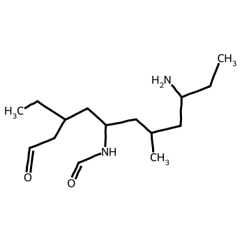 CCC(N)CC(C)CC(CC(CC)CC=O)NC=O